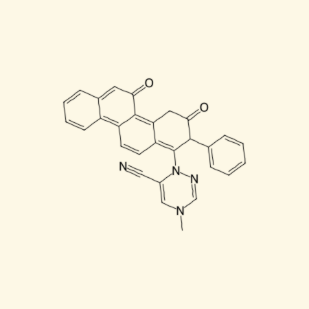 CN1C=NN(C2=c3ccc4c(c3CC(=O)C2c2ccccc2)C(=O)C=c2ccccc2=4)C(C#N)=C1